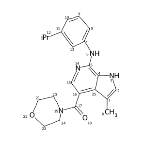 Cc1c[nH]c2c(Nc3cccc(C(C)C)c3)ncc(C(=O)N3CCOCC3)c12